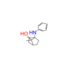 CC1(C)C2CCC1(Nc1ccccc1)C(O)C2